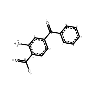 Nc1cc(C(=O)c2ccccc2)ccc1C(=O)Cl